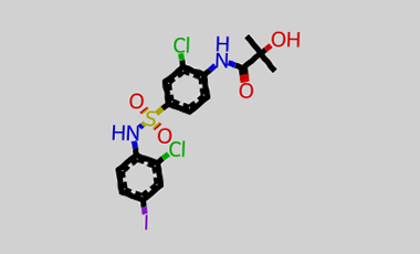 CC(C)(O)C(=O)Nc1ccc(S(=O)(=O)Nc2ccc(I)cc2Cl)cc1Cl